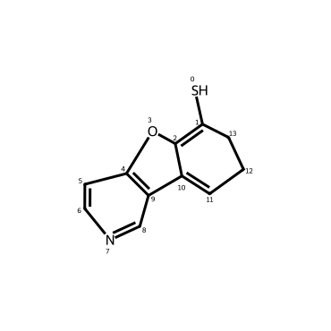 SC1=c2oc3ccncc3c2=CCC1